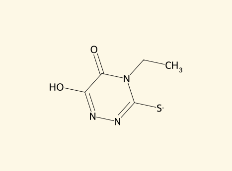 CCn1c([S])nnc(O)c1=O